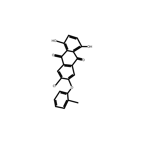 Cc1ccccc1Oc1cc2c(cc1Cl)C(=O)c1c(O)ccc(O)c1C2=O